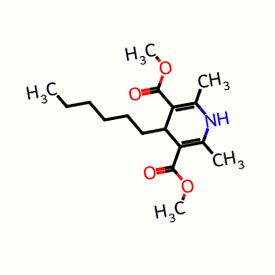 CCCCCCC1C(C(=O)OC)=C(C)NC(C)=C1C(=O)OC